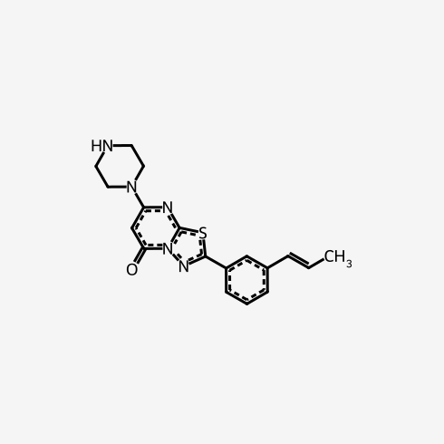 C/C=C/c1cccc(-c2nn3c(=O)cc(N4CCNCC4)nc3s2)c1